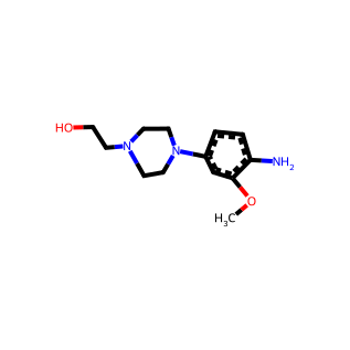 COc1cc(N2CCN(CCO)CC2)ccc1N